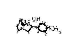 Cc1ccc(C2CN3CCN=C3S2)cc1.Cl